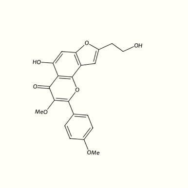 COc1ccc(-c2oc3c(c(O)cc4oc(CCO)cc43)c(=O)c2OC)cc1